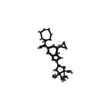 CC1(C)OB(c2cc3nc(C(=O)N4CCCCCC4)cc(C4CC4)n3n2)OC1(C)C